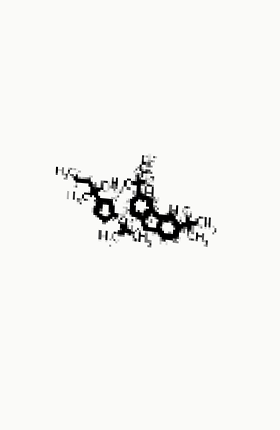 CCCC(C)(C)C1=CC[C]([Zr+2](=[C](C)C)[c]2cc(C(C)(C)C)cc3c2Cc2ccc(C(C)(C)C)cc2-3)=C1.[Cl-].[Cl-]